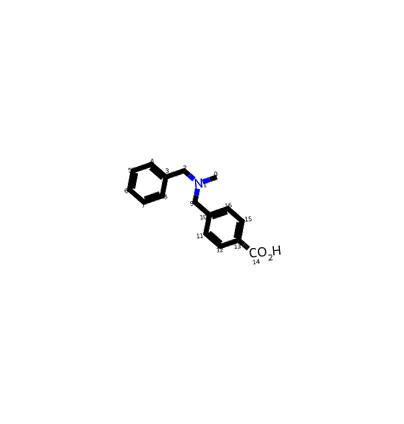 CN(Cc1ccccc1)Cc1ccc(C(=O)O)cc1